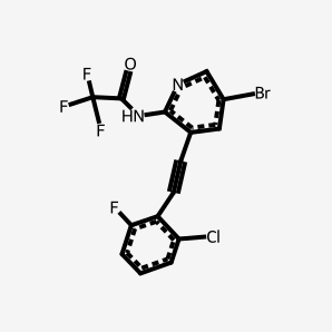 O=C(Nc1ncc(Br)cc1C#Cc1c(F)cccc1Cl)C(F)(F)F